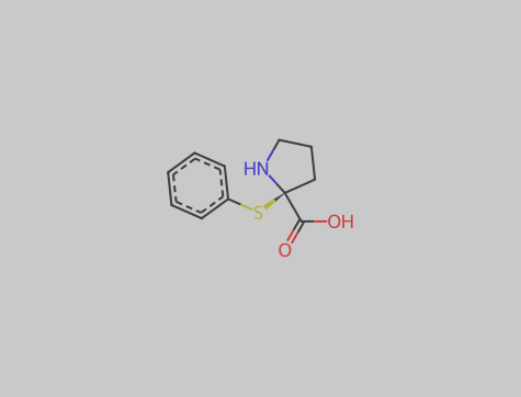 O=C(O)[C@@]1(Sc2ccccc2)CCCN1